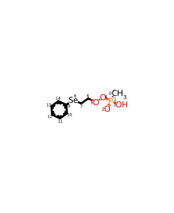 CP(=O)(O)OOCC[Se]c1ccccc1